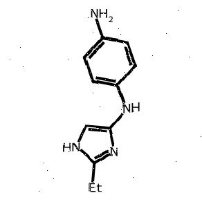 CCc1nc(Nc2ccc(N)cc2)c[nH]1